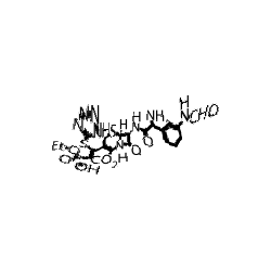 CCOP(=O)(O)CC(Sc1nnn[nH]1)C1=C(C(=O)O)N2C(=O)[C@@H](NC(=O)C(N)c3cccc(NC=O)c3)[C@@H]2SC1